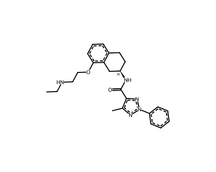 CCNCCOc1cccc2c1C[C@H](NC(=O)c1nn(-c3ccccc3)nc1C)CC2